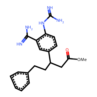 COC(=O)CC(CCc1ccccc1)c1ccc(NC(=N)N)c(C(=N)N)c1